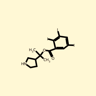 CC(C)(OC(=O)c1cc(I)cc(I)c1I)C1CCNC1